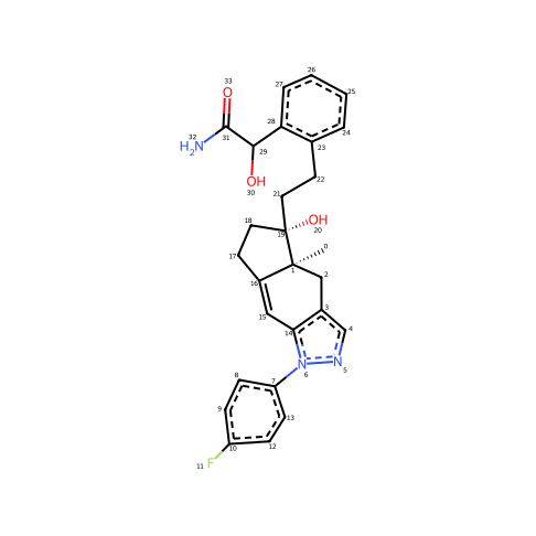 C[C@]12Cc3cnn(-c4ccc(F)cc4)c3C=C1CC[C@@]2(O)CCc1ccccc1C(O)C(N)=O